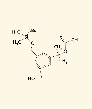 CC(=S)OC(C)(C)c1cc(CO)cc(CO[Si](C)(C)C(C)(C)C)c1